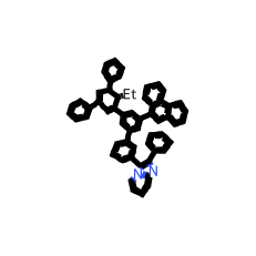 CCC1C(c2cc(-c3cccc(-c4c(-c5ccccc5)nc5ccccn45)c3)cc(-c3cc4ccccc4c4ccccc34)c2)=CC(c2ccccc2)=CC1c1ccccc1